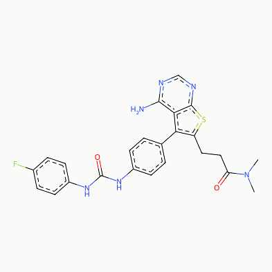 CN(C)C(=O)CCc1sc2ncnc(N)c2c1-c1ccc(NC(=O)Nc2ccc(F)cc2)cc1